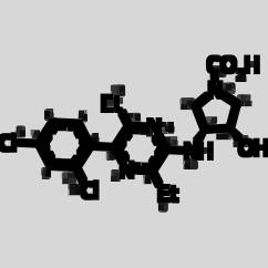 CCc1nc(-c2ccc(Cl)cc2Cl)c(CC)nc1N[C@H]1CN(C(=O)O)C[C@H]1O